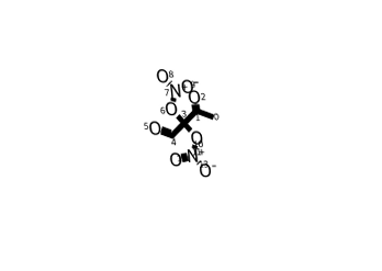 CC(=O)C(C=O)(O[N+](=O)[O-])O[N+](=O)[O-]